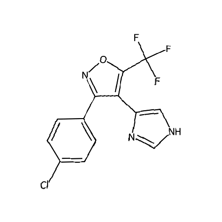 FC(F)(F)c1onc(-c2ccc(Cl)cc2)c1-c1c[nH]cn1